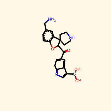 NCc1ccc2c(c1)C1(CCNCC1)C(C(=O)C1=CCC3=NC=C(B(O)O)C3=C1)O2